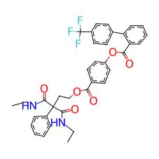 CCNC(=O)C(CCOC(=O)c1ccc(OC(=O)c2ccccc2-c2ccc(C(F)(F)F)cc2)cc1)(C(=O)NCC)c1ccccc1